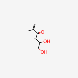 C=C(C)C(=O)[CH]C(O)CO